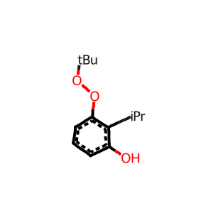 CC(C)c1c(O)cccc1OOC(C)(C)C